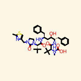 Cc1nc(CN2CCN([C@H](C(=O)N[C@@H](Cc3ccccc3)C[C@@H](O)[C@H](Cc3ccccc3)NC(=O)[C@@H](N(C)C(=O)O)C(C)(C)C)C(C)(C)C)C2=O)cs1